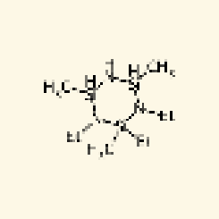 CCN1[SiH](C)N[SiH](C)N(CC)[Si]1(C)CC